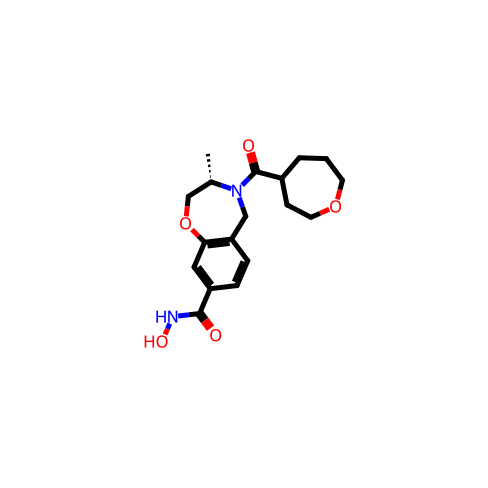 C[C@H]1COc2cc(C(=O)NO)ccc2CN1C(=O)C1CCCOCC1